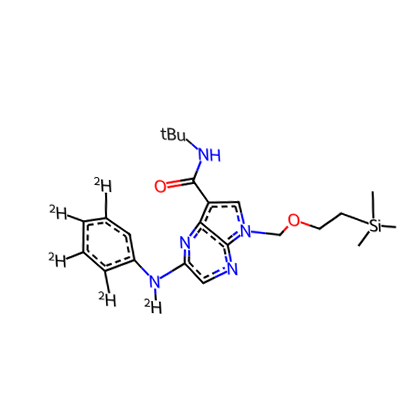 [2H]c1cc(N([2H])c2cnc3c(n2)c(C(=O)NC(C)(C)C)cn3COCC[Si](C)(C)C)c([2H])c([2H])c1[2H]